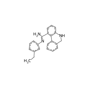 CCc1cccc(N=C(N)c2cccc3c2-c2ccccc2CN3)c1